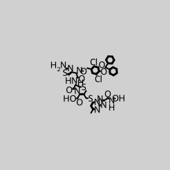 Cc1cc(SCC2=C(C(=O)O)N3C(=O)[C@@H](NC(=O)/C(=N\OCc4cc(Cl)c5c(c4Cl)OC(c4ccccc4)(c4ccccc4)O5)c4csc(N)n4)[C@H]3SC2)n2nc(C(=O)NO)nc2n1